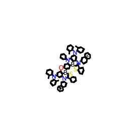 Cc1ccccc1N(c1cc2c3c(c1)N(c1ccc4c(c1)C1CCC4CC1)c1c(sc4ccccc14)B3c1cc3c(cc1O2)N(c1ccccc1)c1cc(N(c2ccccc2C)c2ccccc2C)cc2c1B3c1sc3ccccc3c1N2c1ccc2c(c1)C1CCC2CC1)c1ccccc1C